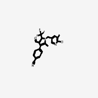 Cc1cc(Cn2c(C)c(-c3ccc(C#N)cc3)c(C=O)c2C(F)(F)F)cnc1Cl